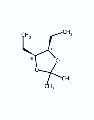 CC[C@@H]1OC(C)(C)O[C@@H]1CC